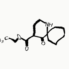 CCOC(=O)C1CCNC2(CCCCC2)C1=O